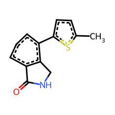 Cc1ccc(-c2cccc3c2CNC3=O)s1